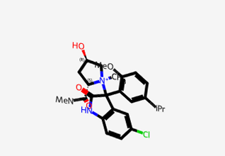 CNC(=O)[C@@H]1C[C@@H](O)C[N+]1(C)C1(c2cc(C(C)C)ccc2OC)C(=O)Nc2ccc(Cl)cc21